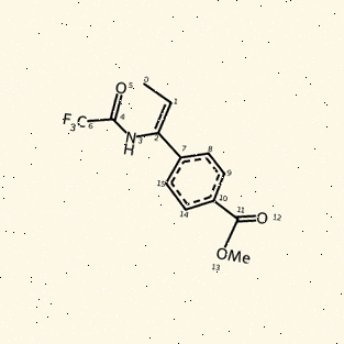 C/C=C(\NC(=O)C(F)(F)F)c1ccc(C(=O)OC)cc1